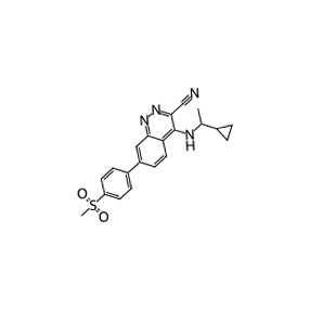 CC(Nc1c(C#N)nnc2cc(-c3ccc(S(C)(=O)=O)cc3)ccc12)C1CC1